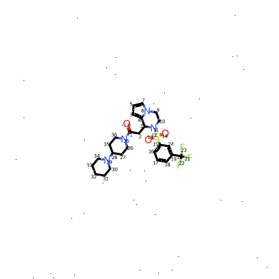 O=C(CC1c2cccn2CCN1S(=O)(=O)c1cccc(C(F)(F)F)c1)N1CCC(N2CCCCC2)CC1